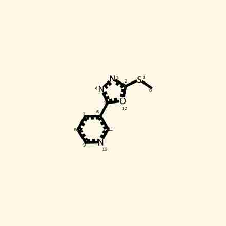 CSc1nnc(-c2cccnc2)o1